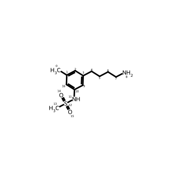 Cc1cc(CCCCN)cc(NS(C)(=O)=O)c1